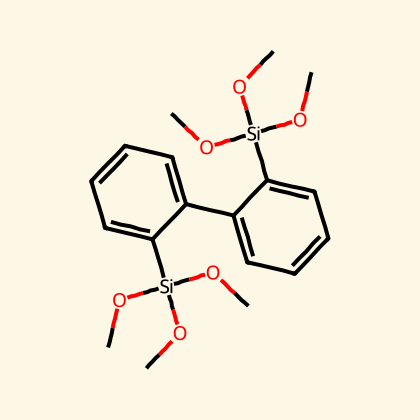 CO[Si](OC)(OC)c1ccccc1-c1ccccc1[Si](OC)(OC)OC